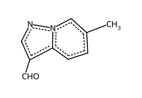 Cc1ccc2c(C=O)cnn2c1